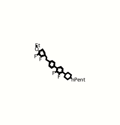 CCCCCC1CCC(c2ccc(-c3ccc(CCc4ccc(OCC)c(F)c4F)cc3)c(F)c2F)CC1